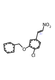 O=[N+]([O-])/C=C/c1ccc(Cl)c(OCc2ccccc2)c1